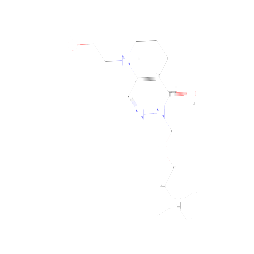 C[Si](C)(C)CCOCn1ncc2c(c1=O)CCCN2CCO